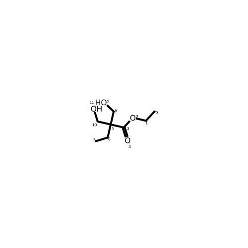 CCOC(=O)C(CC)(CO)CO